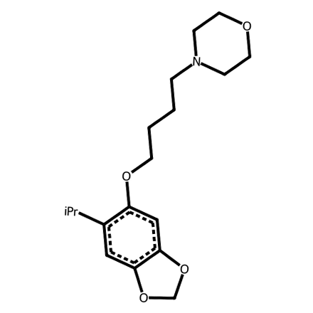 CC(C)c1cc2c(cc1OCCCCN1CCOCC1)OCO2